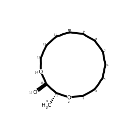 C[C@H]1OCCCCCCCCCCCOC1=O